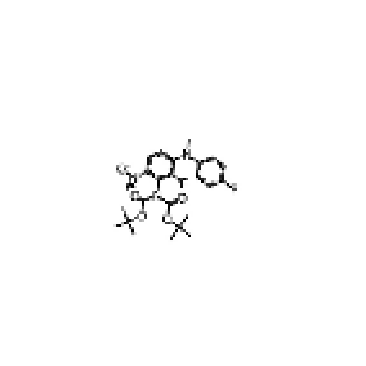 CN(c1ccc(F)cc1)c1ccc([N+](=O)[O-])c(N(C(=O)OC(C)(C)C)C(=O)OC(C)(C)C)c1F